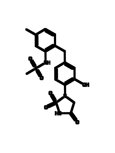 Cc1ccc(Cc2ccc(N3CC(=O)NS3(=O)=O)c(O)c2)c(NS(C)(=O)=O)c1